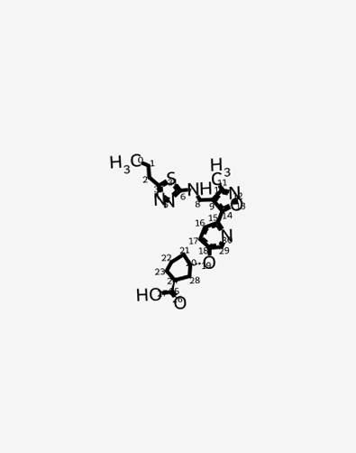 CCCc1nnc(NCc2c(C)noc2-c2ccc(O[C@H]3CCC[C@H](C(=O)O)C3)cn2)s1